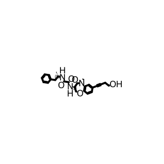 C[C@@H](Cc1ccccc1)NC(=O)C(=O)N[C@H]1COc2ccc(C#CCCO)cc2N(C)C1=O